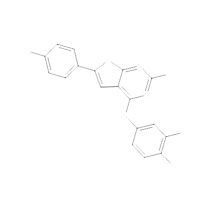 CCOC(=O)c1nc(Nc2ccc(F)c(Cl)c2)c2cc(-c3ccc(F)cc3)sc2n1